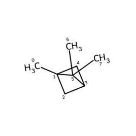 CC12CC(C1)C2(C)C